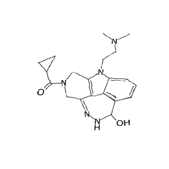 CN(C)CCn1c2c3c4c(cccc41)C(O)NN=C3CN(C(=O)C1CC1)C2